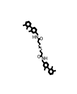 Cc1cc(CNC(=O)CCSSCCC(=O)NCc2ccc(-c3cccc(C)c3C)c(C)c2)ccc1-c1cccc(C)c1C